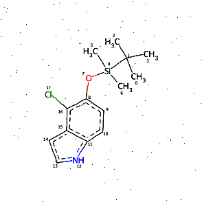 CC(C)(C)[Si](C)(C)Oc1ccc2[nH]ccc2c1Cl